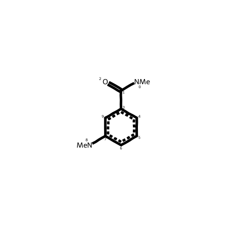 CNC(=O)c1cccc(NC)c1